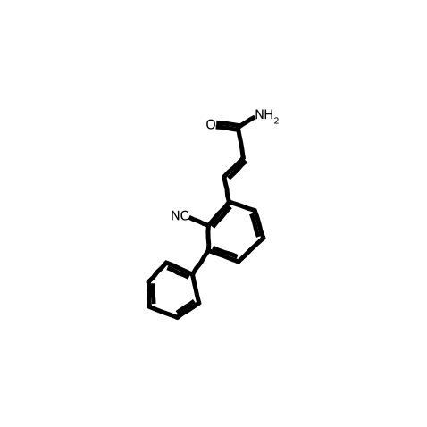 N#Cc1c(C=CC(N)=O)cccc1-c1ccccc1